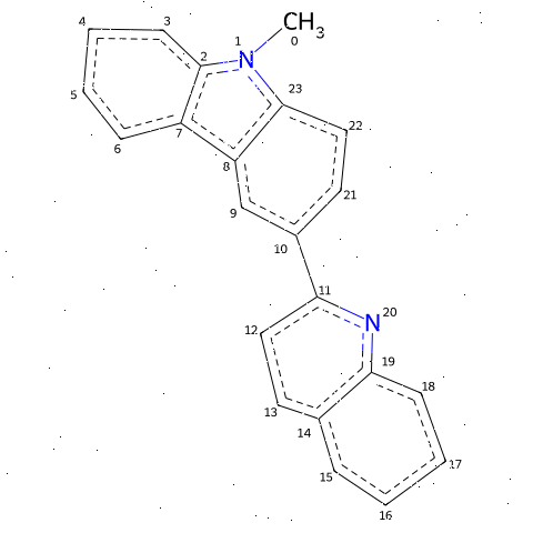 Cn1c2ccccc2c2cc(-c3ccc4ccccc4n3)ccc21